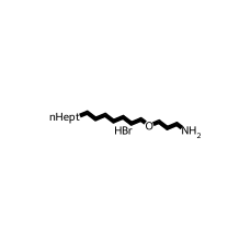 Br.CCCCCCCCCCCCCCOCCCN